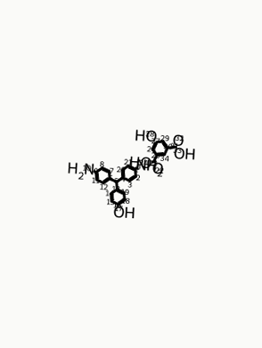 Nc1ccc(C(c2ccc(N)cc2)c2ccc(O)cc2)cc1.O=C(O)c1cc(O)cc(C(=O)O)c1